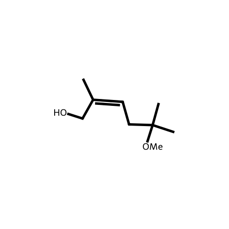 COC(C)(C)CC=C(C)CO